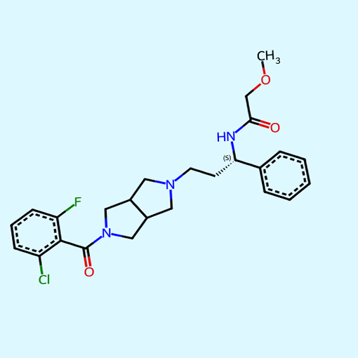 COCC(=O)N[C@@H](CCN1CC2CN(C(=O)c3c(F)cccc3Cl)CC2C1)c1ccccc1